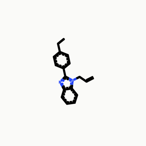 C=CCn1c(-c2ccc(CC)cc2)nc2ccccc21